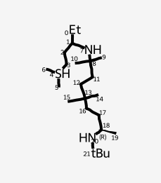 CCC(CC[SH](C)C)NC(C)(C)CCC(C)(C)CC[C@@H](C)NC(C)(C)C